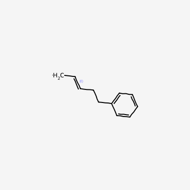 [CH2]/C=C/CCc1ccccc1